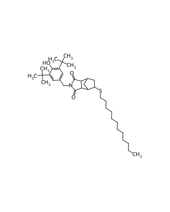 CCCCCCCCCCCCSC1CC2CC1C1C(=O)N(Cc3cc(C(C)(C)C)c(O)c(C(C)(C)C)c3)C(=O)C21